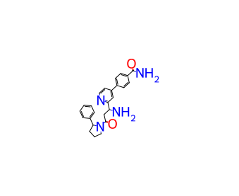 NC(=O)c1ccc(-c2ccnc(C(N)CC(=O)N3CCCC3c3ccccc3)c2)cc1